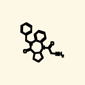 NCC(=O)N1c2ccccc2N(Cc2ccccc2)C(=O)C2CCCC21